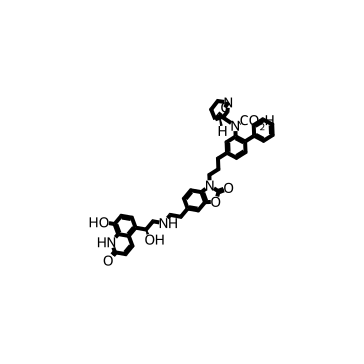 O=C(O)N(c1cc(CCCn2c(=O)oc3cc(CCNC[C@@H](O)c4ccc(O)c5[nH]c(=O)ccc45)ccc32)ccc1-c1ccccc1)[C@H]1CN2CCC1CC2